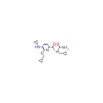 NC(=O)[C@@H](CC(=O)c1ccc(NC2CC2)c(OCC2CC2)n1)CC1CC1